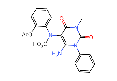 CC(=O)Oc1ccccc1N(C(=O)O)c1c(N)n(-c2ccccc2)c(=O)n(C)c1=O